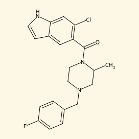 CC1CN(Cc2ccc(F)cc2)CCN1C(=O)c1cc2cc[nH]c2cc1Cl